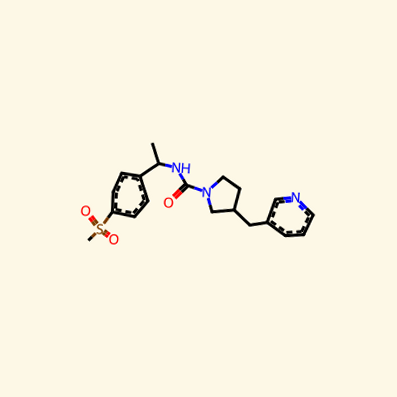 CC(NC(=O)N1CCC(Cc2cccnc2)C1)c1ccc(S(C)(=O)=O)cc1